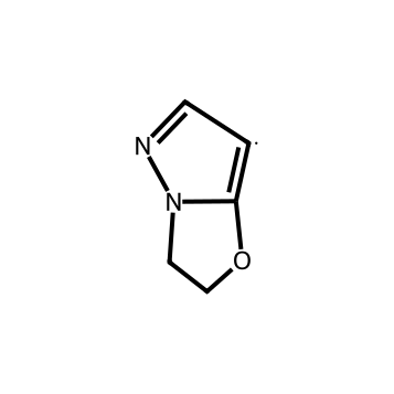 [c]1cnn2c1OCC2